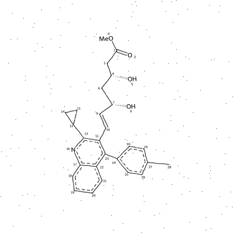 COC(=O)C[C@H](O)C[C@H](O)/C=C/c1c(C2CC2)nc2ccccc2c1-c1ccc(C)cc1